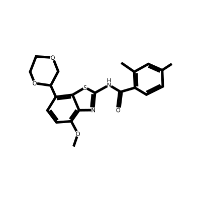 COc1ccc(C2COCCO2)c2sc(NC(=O)c3ccc(C)cc3C)nc12